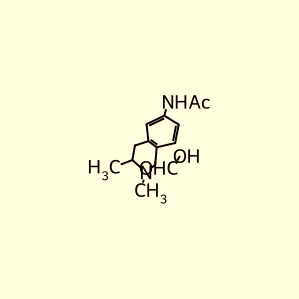 CC(=O)Nc1ccc2c(c1)CC(C)N(C)C2.O=CO